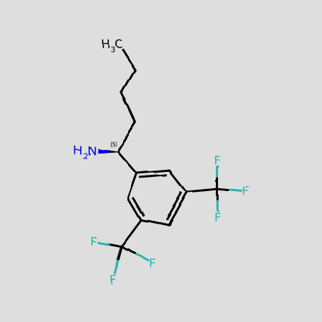 CCCC[C@H](N)c1cc(C(F)(F)F)cc(C(F)(F)F)c1